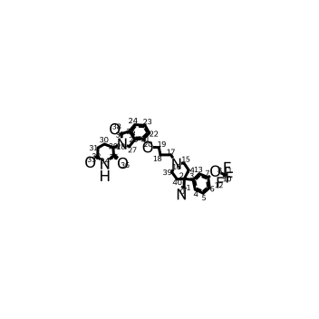 N#CC1(c2cccc(OC(F)(F)F)c2)CCN(CCCOc2cccc3c2CN(C2CCC(=O)NC2=O)C3=O)CC1